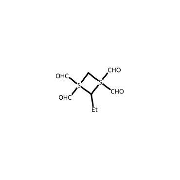 CCC1S(C=O)(C=O)CS1(C=O)C=O